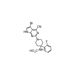 N#Cc1nc(N2CCC(NC(=O)O)(c3ccccc3F)CC2)nc2[nH]cc(Br)c12